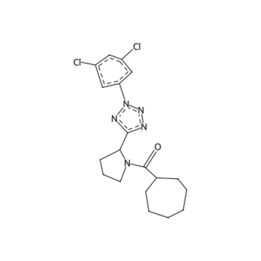 O=C(C1CCCCCC1)N1CCCC1c1nnn(-c2cc(Cl)cc(Cl)c2)n1